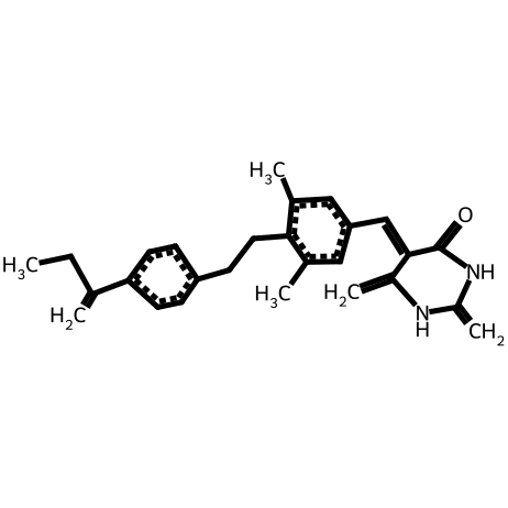 C=C1NC(=C)/C(=C\c2cc(C)c(CCc3ccc(C(=C)CC)cc3)c(C)c2)C(=O)N1